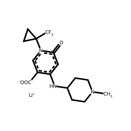 CN1CCC(Nc2cc(=O)n(C3(C(F)(F)F)CC3)cc2C(=O)[O-])CC1.[Li+]